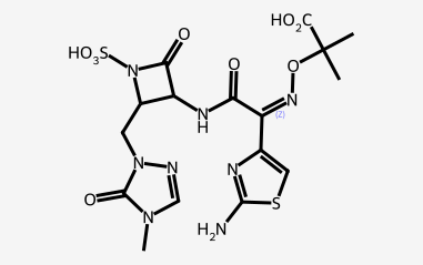 Cn1cnn(CC2C(NC(=O)/C(=N\OC(C)(C)C(=O)O)c3csc(N)n3)C(=O)N2S(=O)(=O)O)c1=O